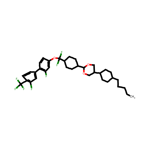 CCCCCC1CCC(C2COC(C3CCC(C(F)(F)Oc4ccc(-c5ccc(C(F)(F)F)c(F)c5)c(F)c4)CC3)OC2)CC1